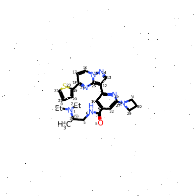 CCN(CC)[C@@H](C)CNC(=O)c1cc(-c2cnn3ccc(-c4cccs4)nc23)nc(N2CCC2)c1